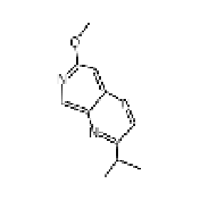 COc1cc2ncc(C(C)C)nc2cn1